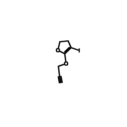 C#CCOC1=C(I)CCO1